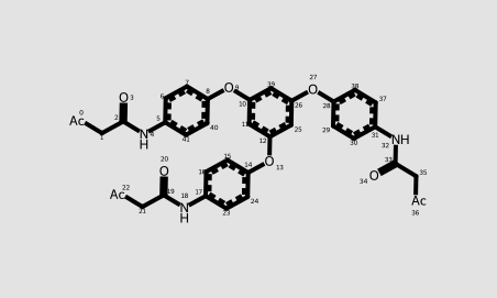 CC(=O)CC(=O)Nc1ccc(Oc2cc(Oc3ccc(NC(=O)CC(C)=O)cc3)cc(Oc3ccc(NC(=O)CC(C)=O)cc3)c2)cc1